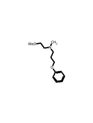 COCCN(C)CCCOC1=CC=C=C=C1